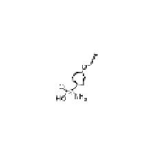 C#CCOc1ccc([C@H](N)C(=O)O)cc1